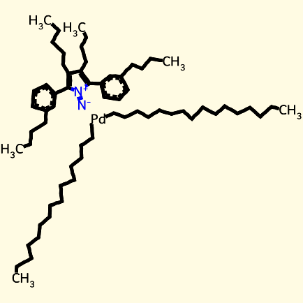 CCCCCC1=C(c2cccc(CCCC)c2)[N+](=[N-])C(c2cccc(CCCC)c2)=C1CCCC.CCCCCCCCCCCCCCC[CH2][Pd][CH2]CCCCCCCCCCCCCCC